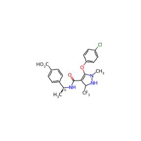 C[C@H](NC(=O)C1=C(Oc2ccc(Cl)cc2)N(C)NC1C(F)(F)F)c1ccc(C(=O)O)cc1